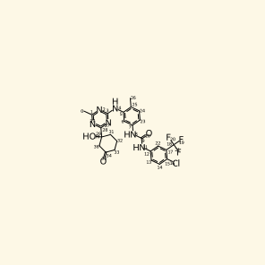 Cc1nc(Nc2cc(NC(=O)Nc3ccc(Cl)c(C(F)(F)F)c3)ccc2C)nc(C2(O)CCCC(=O)C2)n1